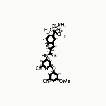 COc1cc(Cl)cc(Oc2cc(NC(=O)c3cc4cc(C(C)(C)S(C)(=O)=O)ccc4s3)cc(Cl)n2)c1